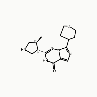 C[C@@H]1CNC[C@H]1c1nn2c(C3CCOCC3)ncc2c(=O)[nH]1